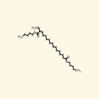 CCCCCOC(=O)CCCCCCCCCCCCCCC(CC)C(=O)OCCCCC